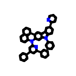 c1ccc(-c2cc(-c3ccccc3)nc(N3c4cc5c(cc4-c4cccc6cccc3c46)c3cc(-c4ccccn4)ccc3n5-c3ccccc3)c2)cc1